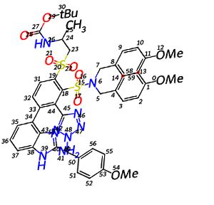 COc1ccc(CN(Cc2ccc(OC)cc2)S(=O)(=O)c2c(S(=O)(=O)CC(C)NC(=O)OC(C)(C)C)ccc(-c3cccc4[nH]c(N)nc34)c2-c2nnn(Cc3ccc(OC)cc3)n2)cc1